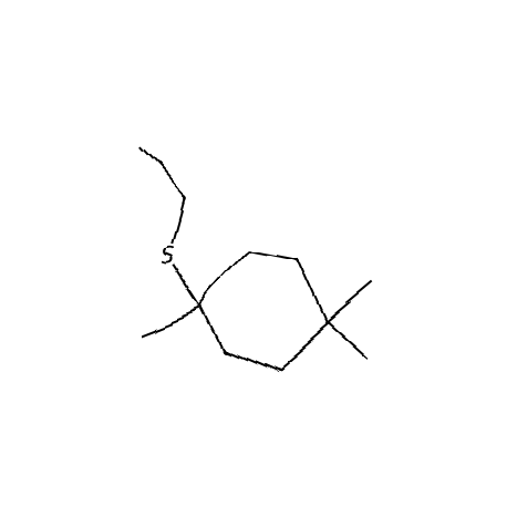 CCSC1(C)CCC(C)(C)CC1